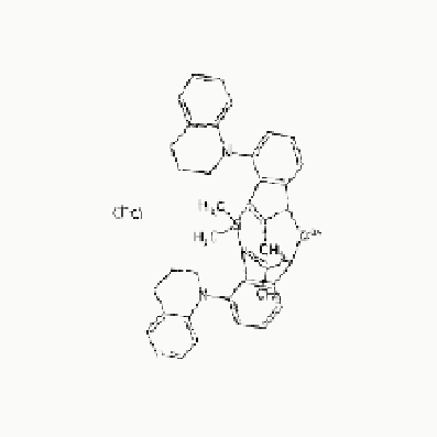 CC1=C2c3c(cccc3N3CCCc4ccccc43)[CH]1[Zr+2][CH]1C(C)=C(c3c1cccc3N1CCCc3ccccc31)[Si]2(C)C.[Cl-].[Cl-]